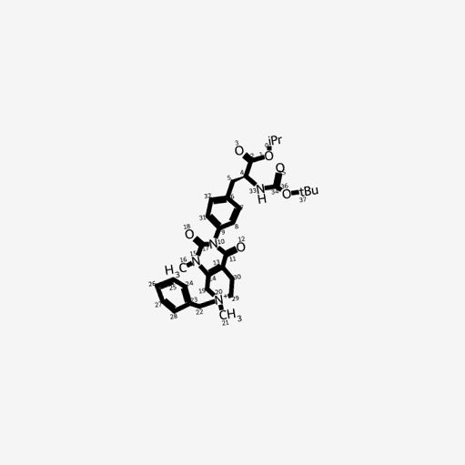 CC(C)OC(=O)[C@H](Cc1ccc(-n2c(=O)c3c(n(C)c2=O)C[N+](C)(Cc2ccccc2)CC3)cc1)NC(=O)OC(C)(C)C